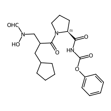 O=CN(O)CC(CC1CCCC1)C(=O)N1CCC[C@H]1C(=O)NC(=O)Oc1ccccc1